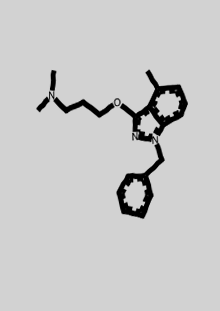 Cc1cccc2c1c(OCCCN(C)C)nn2Cc1ccccc1